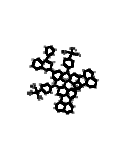 CC(C)(C)c1ccc(N2C3=C(B4c5c2cc(-c2nc(-c6ccccc6)c6ccccc6n2)cc5N(c2ccc(C(C)(C)C)cc2)c2cc5c6cccc7cccc(c8cccc(c24)c85)c76)C2C=CC=C4c5cccc6cccc(c56)C(=C3)C42)cc1